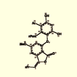 CCC/C=C1/OC(=O)c2c(Oc3c(O)cc(O)c(C(C)=O)c3CCCCC)cc(OC)cc21